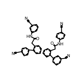 N#Cc1ccc(-c2ccccc2CC(=O)Nc2cccc(C#N)c2)cc1.N#Cc1ccc(NC(=O)Cc2ccccc2-c2cccc(C#N)c2)cc1